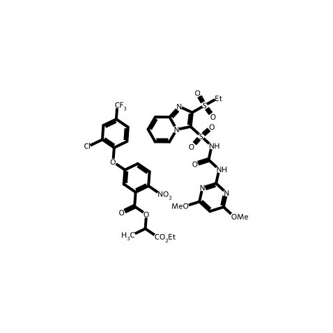 CCOC(=O)C(C)OC(=O)c1cc(Oc2ccc(C(F)(F)F)cc2Cl)ccc1[N+](=O)[O-].CCS(=O)(=O)c1nc2ccccn2c1S(=O)(=O)NC(=O)Nc1nc(OC)cc(OC)n1